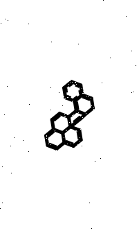 C1=CC2=CC=CC34C=CC5CC=c6ccccc6=C5C3C=CC(=C1)C24